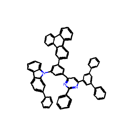 c1ccc(-c2cc(-c3ccccc3)cc(-c3cc(-c4cc(-c5ccc6c7ccccc7c7ccccc7c6c5)cc(-n5c6ccccc6c6ccc(-c7ccccc7)cc65)c4)nc(-c4ccccc4)n3)c2)cc1